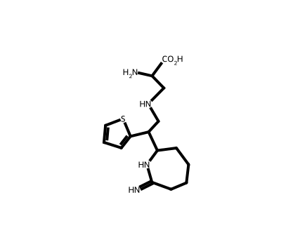 N=C1CCCCC(C(CNCC(N)C(=O)O)c2cccs2)N1